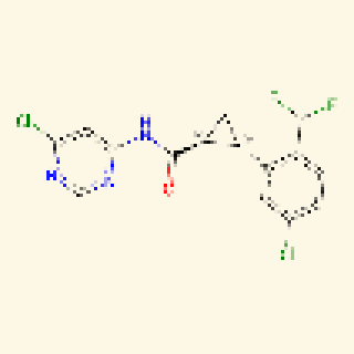 O=C(Nc1cc(Cl)ncn1)[C@H]1C[C@@H]1c1cc(Cl)ccc1C(F)F